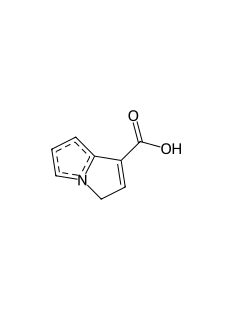 O=C(O)C1=CCn2cccc21